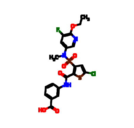 CCOc1ncc(N(C)S(=O)(=O)c2cc(Cl)sc2C(=O)Nc2cccc(C(=O)O)c2)cc1F